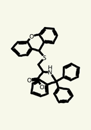 O=C(O)C(CSC1c2ccccc2Oc2ccccc21)NC(c1ccccc1)(c1ccccc1)c1ccccc1